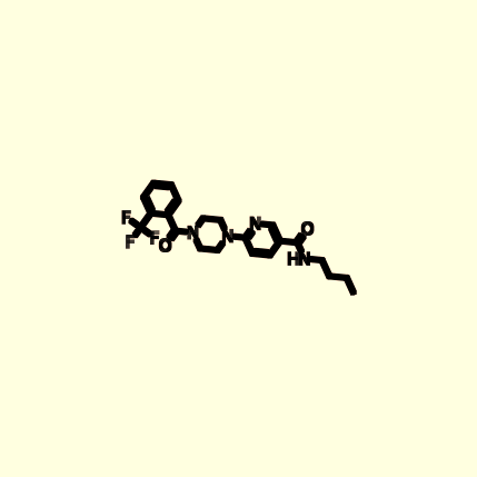 CCCCNC(=O)c1ccc(N2CCN(C(=O)c3ccccc3C(F)(F)F)CC2)nc1